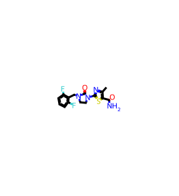 Cc1nc(N2CCN(Cc3c(F)cccc3F)C2=O)sc1C(N)=O